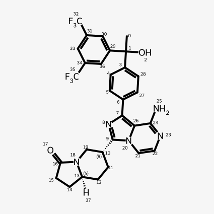 CC(O)(c1ccc(-c2nc([C@@H]3CC[C@H]4CCC(=O)N4C3)n3ccnc(N)c23)cc1)c1cc(C(F)(F)F)cc(C(F)(F)F)c1